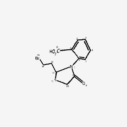 O=C(O)c1ccccc1N1C(=O)CSC1CCBr